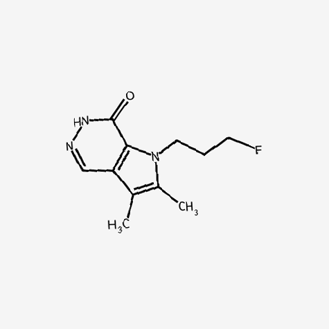 Cc1c(C)n(CCCF)c2c(=O)[nH]ncc12